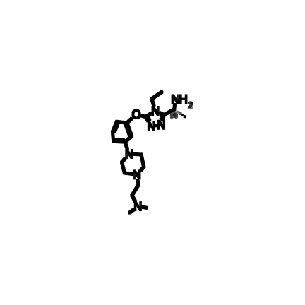 CCn1c(Oc2cccc(N3CCN(CCN(C)C)CC3)c2)nnc1[C@@H](C)N